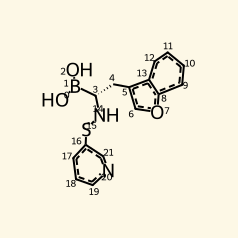 OB(O)[C@H](Cc1coc2ccccc12)NSc1cccnc1